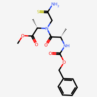 COC(=O)[C@H](C)N(CC(N)=S)C(=O)[C@H](C)NC(=O)OCc1ccccc1